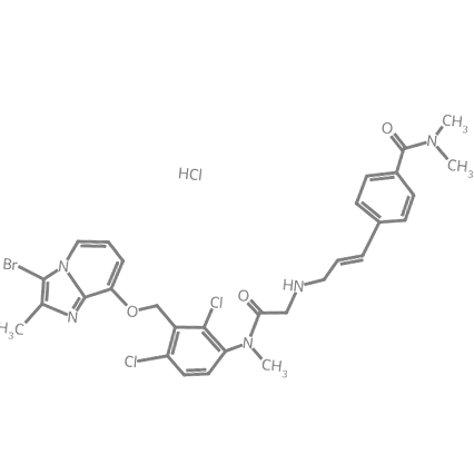 Cc1nc2c(OCc3c(Cl)ccc(N(C)C(=O)CNCC=Cc4ccc(C(=O)N(C)C)cc4)c3Cl)cccn2c1Br.Cl